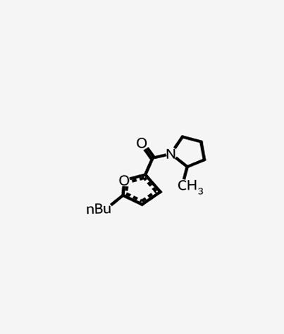 CCCCc1ccc(C(=O)N2CCCC2C)o1